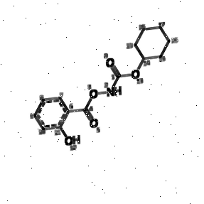 O=C(NOC(=O)c1ccccc1O)OC1CCCCC1